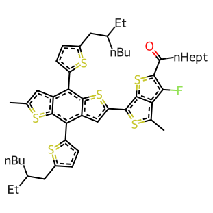 CCCCCCCC(=O)c1sc2c(-c3cc4c(-c5ccc(CC(CC)CCCC)s5)c5sc(C)cc5c(-c5ccc(CC(CC)CCCC)s5)c4s3)sc(C)c2c1F